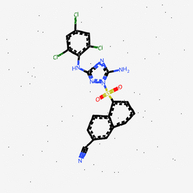 N#Cc1ccc2c(S(=O)(=O)n3nc(Nc4c(Cl)cc(Cl)cc4Cl)nc3N)cccc2c1